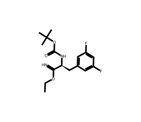 CCOC(=N)[C@H](Cc1cc(F)cc(F)c1)NC(=O)OC(C)(C)C